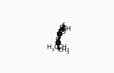 CCC(C)(C)c1ccc(OCc2ccc(/C=C3/SC(=S)NC3=O)cc2)cc1